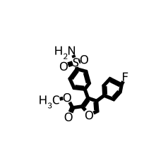 COC(=O)c1occ(-c2ccc(F)cc2)c1-c1ccc(S(N)(=O)=O)cc1